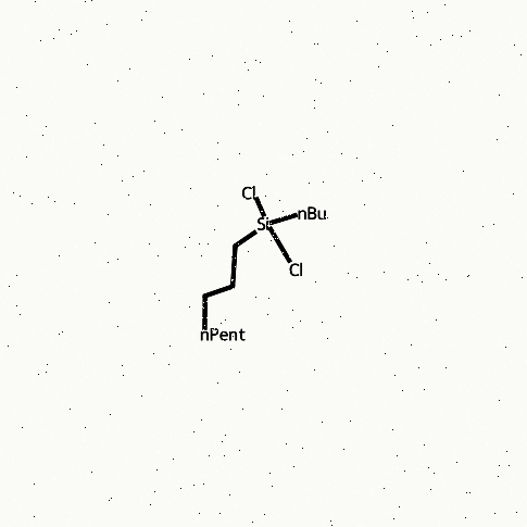 CCCCCCCC[Si](Cl)(Cl)CCCC